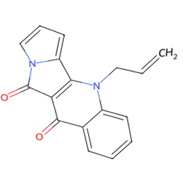 C=CCn1c2c(c(=O)c3ccccc31)C(=O)n1cccc1-2